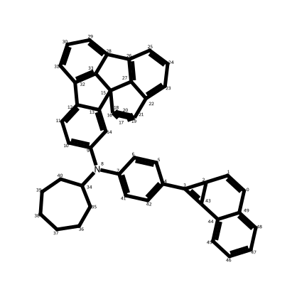 C1=CC2C(c3ccc(N(c4ccc5c(c4)C46c7ccccc7-c7cccc(c74)-c4cccc-5c46)C4CCCCCC4)cc3)=C2c2ccccc21